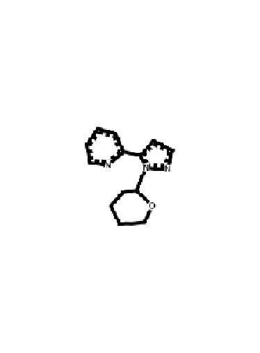 c1ccc(-c2ccnn2C2CCCCO2)nc1